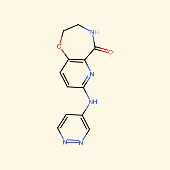 O=C1NCCOc2ccc(Nc3ccnnc3)nc21